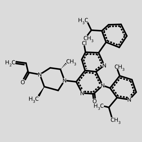 C=CC(=O)N1C[C@H](C)N(c2nc(=O)n(-c3c(C)ccnc3C(C)C)c3nc(-c4ccccc4C(C)C)c(Cl)cc23)C[C@H]1C